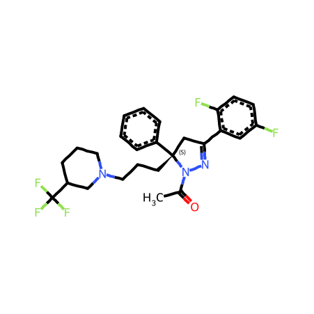 CC(=O)N1N=C(c2cc(F)ccc2F)C[C@@]1(CCCN1CCCC(C(F)(F)F)C1)c1ccccc1